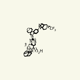 O=C(NC1(C(=O)O)C2CC3CC(C2)CC1C3)c1cnc(N2CC3(CCOCC3)c3cc(-n4ncc5c4CCN(CC(F)(F)F)C5)ccc32)nc1C(F)(F)F